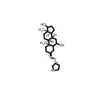 C[C@]12CC/C(=N/O[C@@H]3CCNC3)CC1C(O)C[C@@H]1[C@H]2CC[C@]2(C)C(O)CC[C@@H]12